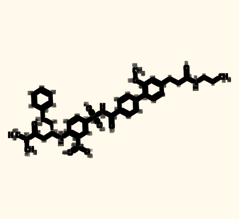 CCCNC(=O)CCc1ccc(-c2ccc(C(=O)NS(=O)(=O)c3ccc(N[C@@H](CSc4ccccc4)CC(=O)N(C)C)c([N+](=O)[O-])c3)cc2)c(OC)c1